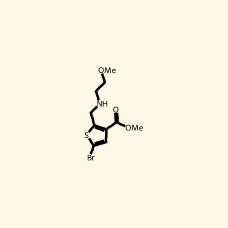 COCCNCc1sc(Br)cc1C(=O)OC